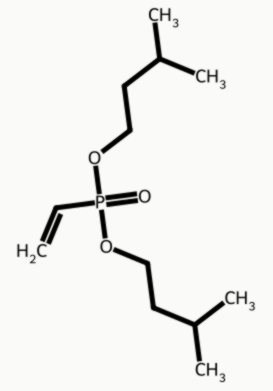 C=CP(=O)(OCCC(C)C)OCCC(C)C